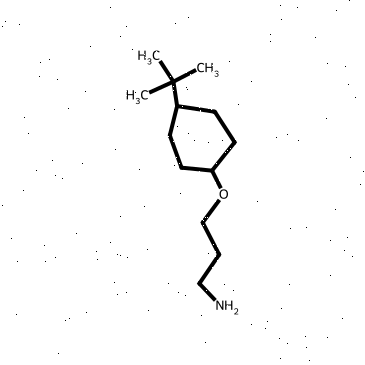 CC(C)(C)C1CCC(OCCCN)CC1